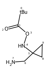 CC(C)(C)C(=O)ONC1(CN)CC1